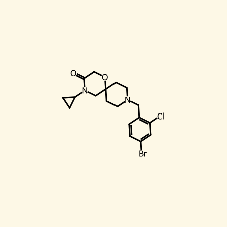 O=C1COC2(CCN(Cc3ccc(Br)cc3Cl)CC2)CN1C1CC1